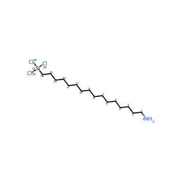 NCCCCCCCCCCCCCCCC[Si](Cl)(Cl)Cl